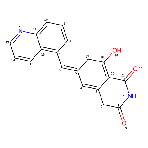 O=C1CC2=CC(=Cc3cccc4ncccc34)CC(O)=C2C(=O)N1